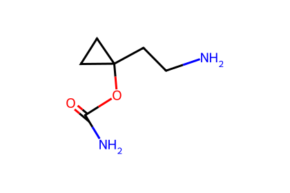 NCCC1(OC(N)=O)CC1